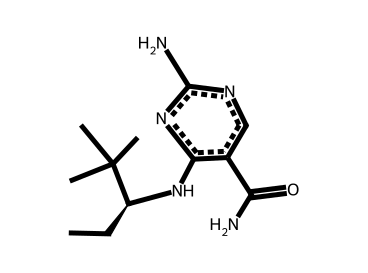 CC[C@H](Nc1nc(N)ncc1C(N)=O)C(C)(C)C